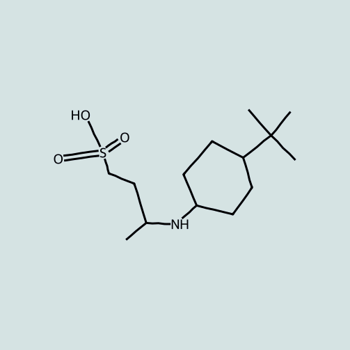 CC(CCS(=O)(=O)O)NC1CCC(C(C)(C)C)CC1